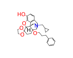 Oc1ccc2c3c1O[C@H]1C4(CC[C@@]5(OCCCc6ccccc6)C(C2)N(CC2CC2)CC[C@]315)OCCO4